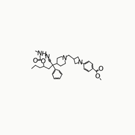 CCCC(CC(C#N)(c1ccccc1)C1CCN(CC2CN(c3ccc(C(=O)OC)cc3)C2)CC1)OC(=O)NC